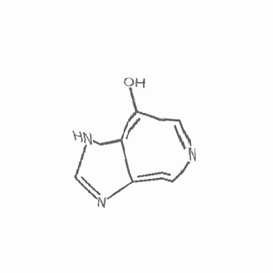 Oc1cncc2nc[nH]c12